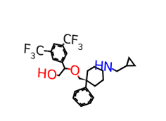 OCC(OC[C@]1(c2ccccc2)CC[C@@H](NCC2CC2)CC1)c1cc(C(F)(F)F)cc(C(F)(F)F)c1